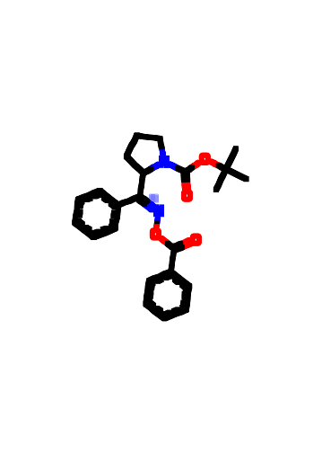 CC(C)(C)OC(=O)N1CCCC1/C(=N/OC(=O)c1ccccc1)c1ccccc1